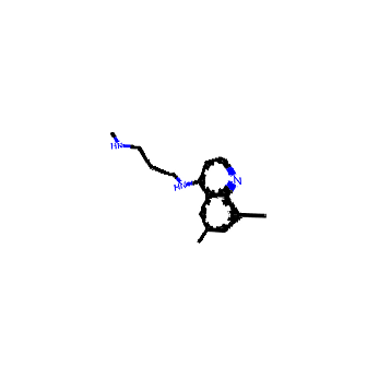 CNCCCNc1ccnc2c(C)cc(C)cc12